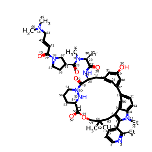 CCc1ncccc1-c1c2c3cc(ccc3n1CC)-c1cc(O)cc(c1)C[C@H](NC(=O)[C@H](C(C)C)N(C)C(=O)[C@H]1CCN(C(=O)/C=C/CN(C)C)C1)C(=O)N1CCC[C@H](N1)C(=O)OCC(C)(C)C2